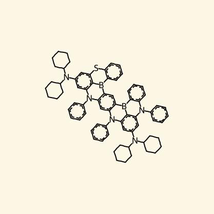 c1ccc(N2c3cc4c(cc3B3c5ccccc5Sc5cc(N(C6CCCCC6)C6CCCCC6)cc2c53)B2c3ccccc3N(c3ccccc3)c3cc(N(C5CCCCC5)C5CCCCC5)cc(c32)N4c2ccccc2)cc1